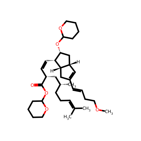 COCCC=CC1=C[C@H]2C[C@@H](OC3CCCCO3)[C@@H](/C=C\[C@H](C[C@H](C)CCC=C(C)C)C(=O)OC3CCCCO3)[C@H]2C1